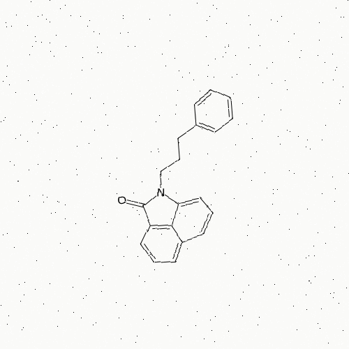 O=C1c2cccc3cccc(c23)N1CCCc1ccccc1